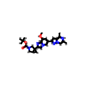 COc1cc(-c2cc3c(C)nc(C)cn3n2)cn2cc(C34CC3CN(C(=O)OC(C)(C)C)C4)nc12